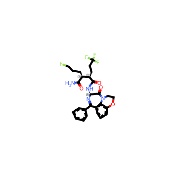 NC(=O)[C@@H](CCCF)[C@@H](CCC(F)(F)F)C(=O)N[C@H]1N=C(c2ccccc2)c2cccc3c2N(CCO3)C1=O